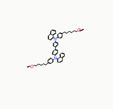 C=COCCCCCCc1ccc(N(c2ccc(-c3ccc(N(c4ccc(CCCCCCOC=C)cc4)c4cccc5ccccc45)cc3)cc2)c2cccc3ccccc23)cc1